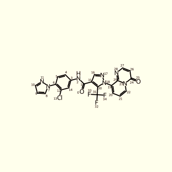 O=C(Nc1ccc(-n2cccn2)c(Cl)c1)c1cnn(-c2cccn3c(=O)ccnc23)c1C(F)(F)F